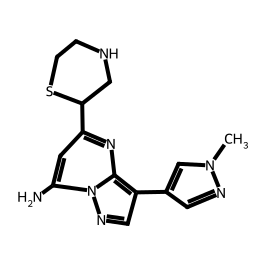 Cn1cc(-c2cnn3c(N)cc(C4CNCCS4)nc23)cn1